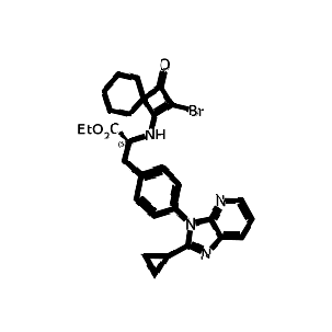 CCOC(=O)[C@H](Cc1ccc(-n2c(C3CC3)nc3cccnc32)cc1)NC1=C(Br)C(=O)C12CCCCC2